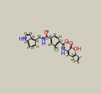 O=C(O)C(=Cc1cccs1)NC(=O)c1ccc(C(=O)NCc2cccc3[nH]ccc23)cc1Cl